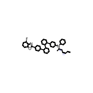 C=C/C=C\C=C(/C)N(c1ccccc1)c1ccc(-c2ccccc2-c2ccccc2-c2ccc(-c3nc4c(F)cccc4o3)cc2)cc1